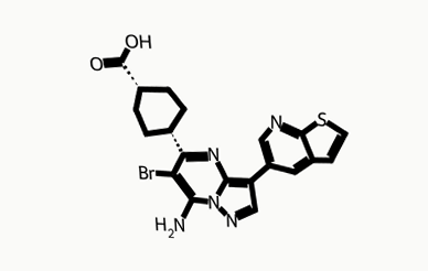 Nc1c(Br)c([C@H]2CC[C@@H](C(=O)O)CC2)nc2c(-c3cnc4sccc4c3)cnn12